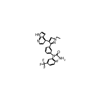 CCn1cc(-c2ccnc3[nH]ccc23)c(-c2cccc(N(C(N)=O)c3cc(C(F)(F)F)ccc3F)c2)n1